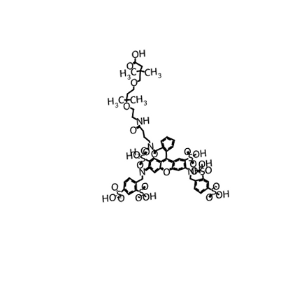 CN(CCCC(=O)NCCOC(C)(C)CCOCC(C)(C)CC(=O)O)C(=O)c1ccccc1-c1c2cc(S(=O)(=O)O)/c(=N/Cc3ccc(S(=O)(=O)O)cc3S(=O)(=O)O)cc-2oc2cc(NCc3ccc(S(=O)(=O)O)cc3S(=O)(=O)O)c(S(=O)(=O)O)cc12